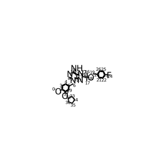 COc1ccc(Cn2cnc(N)c3nc(C(C)(C)OCc4ccc(F)cc4)nc2-3)cc1OC1CCCC1